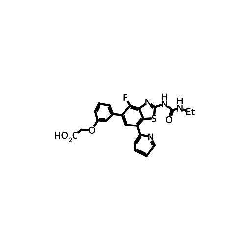 CCNC(=O)Nc1nc2c(F)c(-c3cccc(OCC(=O)O)c3)cc(-c3ccccn3)c2s1